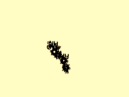 CNC(=O)c1nn(C)c2c1CCc1cnc(Nc3ccc(N4CCN(C)CC4)cc3)nc1-2